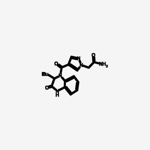 CCC(C)C1C(=O)Nc2ccccc2N1C(=O)c1cnn(CC(N)=O)c1